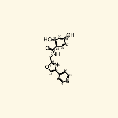 O=C(NCc1nc(-c2ccncc2)co1)c1ccc(O)cc1O